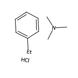 CCc1ccccc1.CN(C)C.Cl